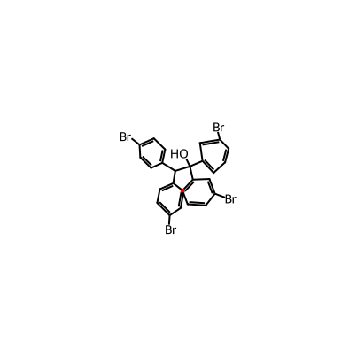 OC(c1cccc(Br)c1)(c1cccc(Br)c1)C(c1ccc(Br)cc1)c1ccc(Br)cc1